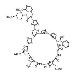 CNC(=O)C[C@@H]1NC(=O)c2csc(n2)-c2ccc(-c3nc(N(Cc4ccnc(C(=O)O)c4)C(=O)O[C@H]4CC[C@H](C(=O)O)CC4)cs3)nc2-c2csc(n2)-c2csc(n2)[C@H]([C@@H](O)c2ccccc2)NC(=O)CNC(=O)c2nc(sc2COC)C(C(C)C)NC(=O)c2nc1sc2C